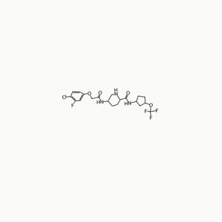 O=C(COc1ccc(Cl)c(F)c1)NC1CCC(C(=O)NC2CCC(OC(F)(F)F)C2)NC1